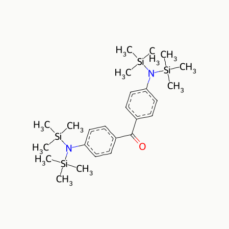 C[Si](C)(C)N(c1ccc(C(=O)c2ccc(N([Si](C)(C)C)[Si](C)(C)C)cc2)cc1)[Si](C)(C)C